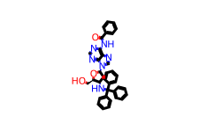 O=C(Nc1ncnc2c1ncn2[C@H]1C[C@H](NC(c2ccccc2)(c2ccccc2)c2ccccc2)[C@@H](CO)O1)c1ccccc1